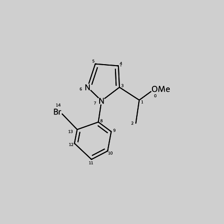 COC(C)c1[c]cnn1-c1ccccc1Br